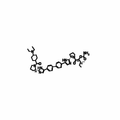 CC[C@@H](C)[C@H](OC(N)=O)C(=O)N1CCC[C@H]1c1ncc(-c2ccc(-c3ccc(-c4cnc([C@@H]5CCCN5C(=O)C5CCC(N(CC)CC)CC5)[nH]4)cc3)cc2)[nH]1